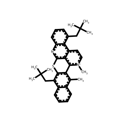 Cc1c2c(c(CC(C)(C)C)c3ccccc13)Sc1nc3cccc(CC(C)(C)C)c3c3cc[n+](C)c-2c13